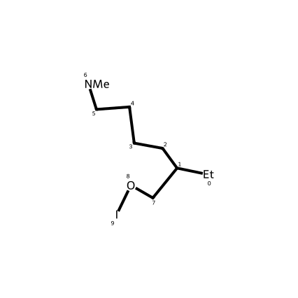 CCC(CCCCNC)COI